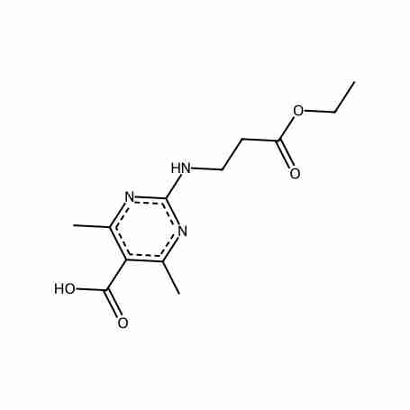 CCOC(=O)CCNc1nc(C)c(C(=O)O)c(C)n1